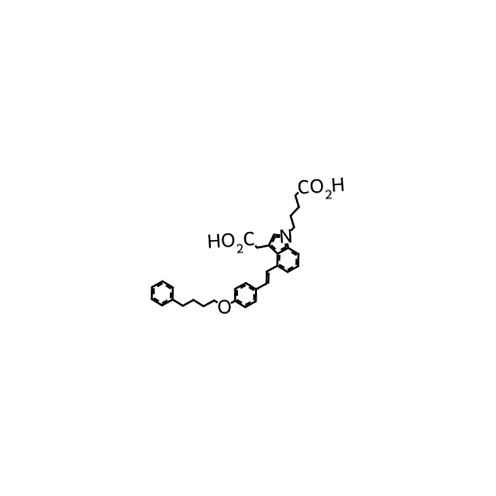 O=C(O)CCCCn1cc(CC(=O)O)c2c(/C=C/c3ccc(OCCCCc4ccccc4)cc3)cccc21